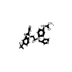 CC(=O)Nc1ccc(N(Cc2ccsc2)C(=O)Cn2c(C#N)nc3cc(C(F)(F)F)ccc32)cc1